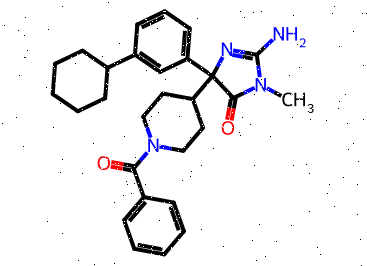 CN1C(=O)C(c2cccc(C3CCCCC3)c2)(C2CCN(C(=O)c3ccccc3)CC2)N=C1N